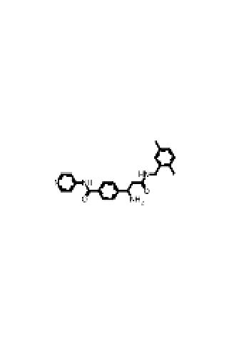 Cc1ccc(C)c(CNC(=O)CC(N)c2ccc(C(=O)Nc3ccncc3)cc2)c1